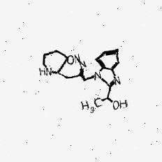 C[C@H](O)c1nc2ccccc2n1CC(C[C@@H]1CCCCN1)=NN=O